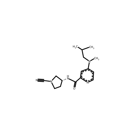 CC(C)CN(C)c1ccnc(C(=O)N[C@@H]2CCN(C#N)C2)c1